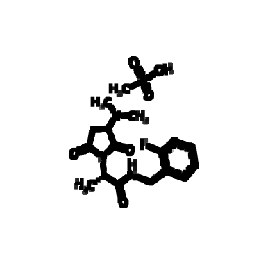 CS(=O)(=O)O.C[C@@H](C(=O)NCc1ccccc1F)N1C(=O)CC(N(C)C)C1=O